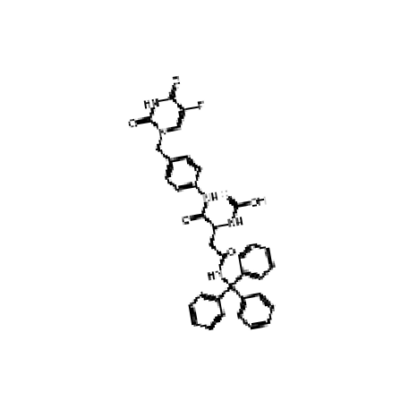 O=C(O)NC(CC(=O)NC(c1ccccc1)(c1ccccc1)c1ccccc1)C(=O)Nc1ccc(Cn2cc(F)c(=O)[nH]c2=O)cc1